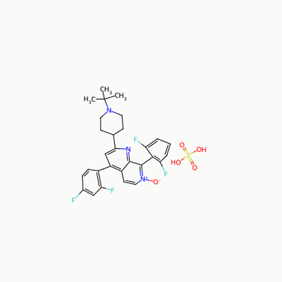 CC(C)(C)N1CCC(c2cc(-c3ccc(F)cc3F)c3cc[n+]([O-])c(-c4c(F)cccc4F)c3n2)CC1.O=S(=O)(O)O